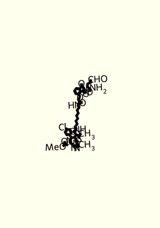 COC(=O)C[C@@H]1N=C(c2ccc(Cl)cc2)c2c(sc(C)c2C(=O)NCCCCCCCCNC(=O)COc2cccc3c2C(=O)N(C(CCC=O)C(N)=O)C3=O)-n2c(C)nnc21